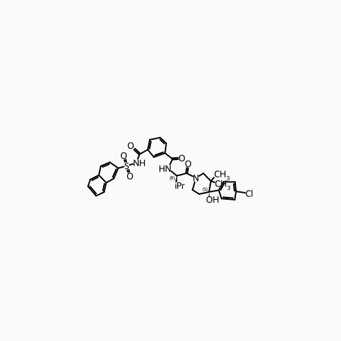 CC(C)[C@@H](NC(=O)c1cccc(C(=O)NS(=O)(=O)c2ccc3ccccc3c2)c1)C(=O)N1CC[C@](O)(c2ccc(Cl)cc2)C(C)(C)C1